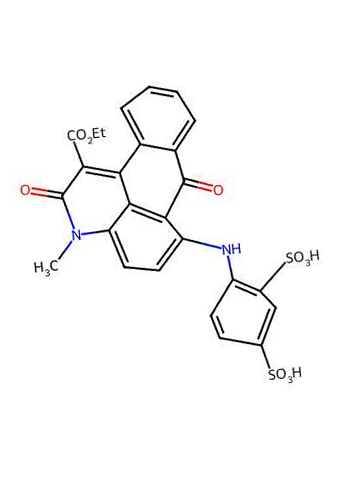 CCOC(=O)c1c2c3c(c(Nc4ccc(S(=O)(=O)O)cc4S(=O)(=O)O)ccc3n(C)c1=O)C(=O)c1ccccc1-2